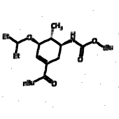 CCCCC(=O)C1=C[C@@H](OC(CC)CC)[C@H](C)[C@@H](NC(=O)OC(C)(C)C)C1